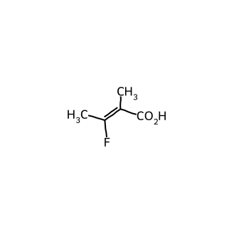 CC(F)=C(C)C(=O)O